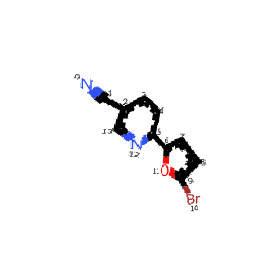 N#Cc1ccc(-c2ccc(Br)o2)nc1